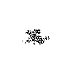 CC(C)CCOc1ccc2ccccc2c1-c1c(OCC(=O)N[C@H](CCCCN)C(=O)N[C@H](CCCNC(=N)N)C(=O)N[C@@H](CC(C)C)C(=O)OCc2c(Cl)cccc2Cl)ccc2ccccc12